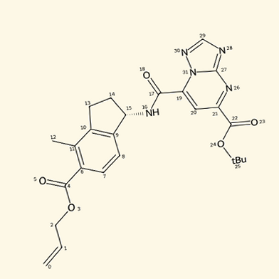 C=CCOC(=O)c1ccc2c(c1C)CC[C@@H]2NC(=O)c1cc(C(=O)OC(C)(C)C)nc2ncnn12